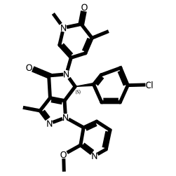 COc1ncccc1-n1nc(C)c2c1[C@H](c1ccc(Cl)cc1)N(c1cc(C)c(=O)n(C)c1)C2=O